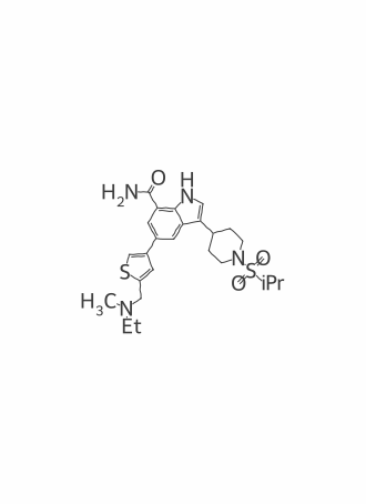 CCN(C)Cc1cc(-c2cc(C(N)=O)c3[nH]cc(C4CCN(S(=O)(=O)C(C)C)CC4)c3c2)cs1